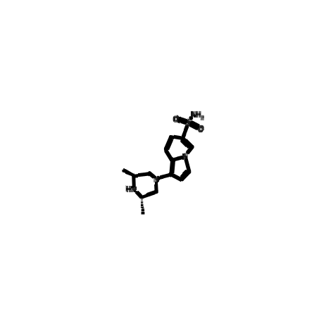 C[C@H]1CN(c2ccn3cc(S(N)(=O)=O)ccc23)C[C@H](C)N1